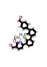 COc1nc(-c2cccc(-c3cccc(-c4ccc(C=O)cc4)c3C)c2F)ccc1C=O